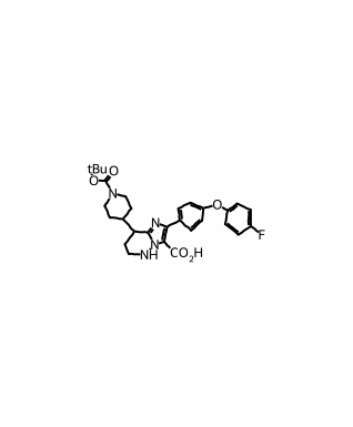 CC(C)(C)OC(=O)N1CCC(C2CCNn3c2nc(-c2ccc(Oc4ccc(F)cc4)cc2)c3C(=O)O)CC1